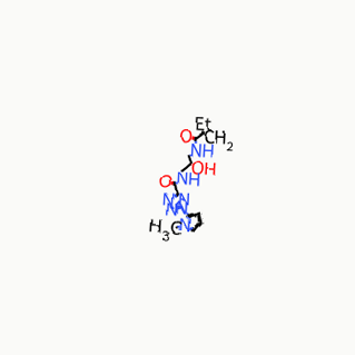 C=C(CC)C(=O)NCC(O)CNC(=O)c1nnn(-c2cccn2C)n1